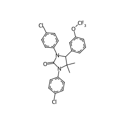 CC1(C)C(c2cccc(OC(F)(F)F)c2)N(c2ccc(Cl)cc2)C(=O)N1c1ccc(Cl)cc1